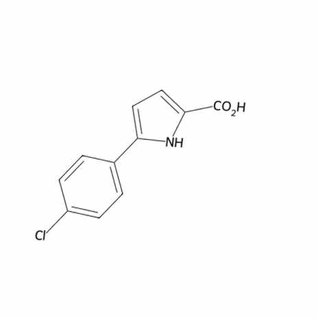 O=C(O)c1ccc(-c2ccc(Cl)cc2)[nH]1